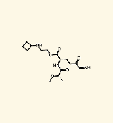 CO[C@@H](C)C(=O)N[C@@H](CCC(=O)C=N)C(=O)OCCNC1CCC1